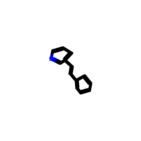 [c]1ncccc1C=Cc1ccccc1